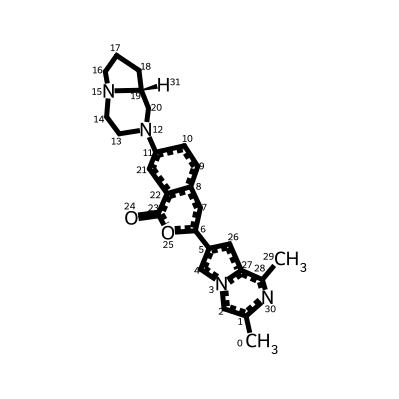 Cc1cn2cc(-c3cc4ccc(N5CCN6CCC[C@@H]6C5)cc4c(=O)o3)cc2c(C)n1